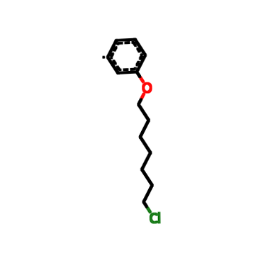 ClCCCCCCCOc1c[c]ccc1